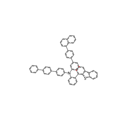 c1ccc(-c2ccc(-c3ccc(N(c4cccc(-c5ccc(-c6cccc7ccccc67)cc5)c4)c4ccccc4-c4cccc5c4sc4ccccc45)cc3)cc2)cc1